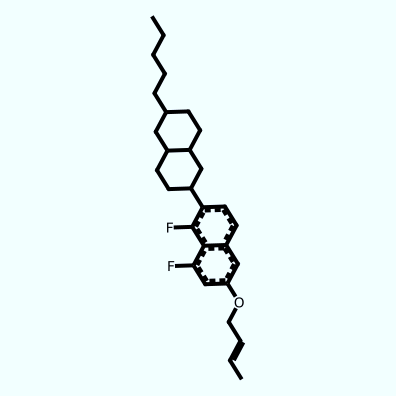 CC=CCOc1cc(F)c2c(F)c(C3CCC4CC(CCCCC)CCC4C3)ccc2c1